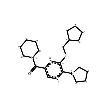 O=C(c1cnc(N2CCCC2)c(OCC2CCCC2)n1)N1CCCCC1